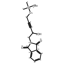 CC(C)(C)[Si](C)(C)OCC#CC(O)CN1C(=O)c2ccccc2C1=O